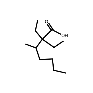 CCCCC(C)C(CC)(CC)C(=O)O